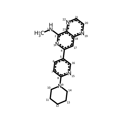 CNc1nc(-c2ccc(N3CCCCC3)nc2)cc2nccnc12